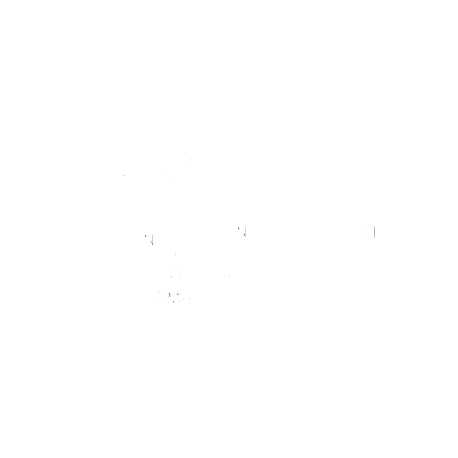 COc1cccc(C)c1-n1c2c(cc(-c3nc(-c4ccc(Cl)cc4)cs3)c1=O)C(=O)CC(C)(C)C2